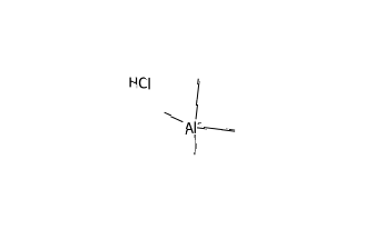 Cl.[CH3][Al-]([CH3])([CH3])[CH3]